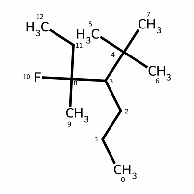 CCCC(C(C)(C)C)C(C)(F)CC